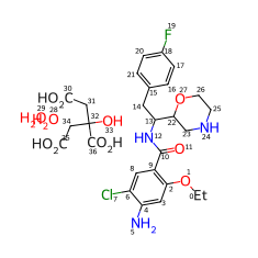 CCOc1cc(N)c(Cl)cc1C(=O)NC(Cc1ccc(F)cc1)C1CNCCO1.O.O.O=C(O)CC(O)(CC(=O)O)C(=O)O